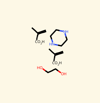 C1CNCCN1.C=C(C)C(=O)O.C=C(C)C(=O)O.OCCO